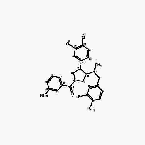 CN(Cc1ccc(C(F)(F)F)c(F)c1)[C@H]1CN(C(=O)c2cccc(C#N)c2)C[C@@H]1c1ccc(Cl)c(Cl)c1